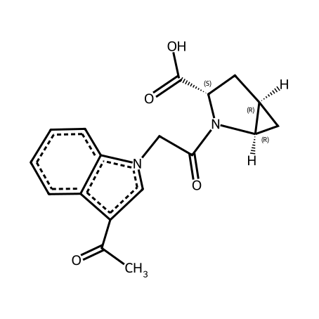 CC(=O)c1cn(CC(=O)N2[C@@H]3C[C@@H]3C[C@H]2C(=O)O)c2ccccc12